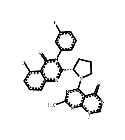 Cc1nc(N2CCC[C@H]2c2nc3cccc(Cl)c3c(=O)n2-c2cccc(F)c2)c2c(=O)nc[nH]c2n1